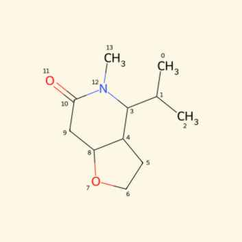 CC(C)C1C2CCOC2CC(=O)N1C